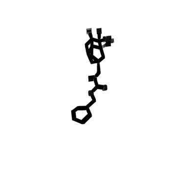 N[C@@H]1[C@@H]2CC3C[C@H]1C[C@@](CNC(=O)OCc1ccccc1)(C3)C2